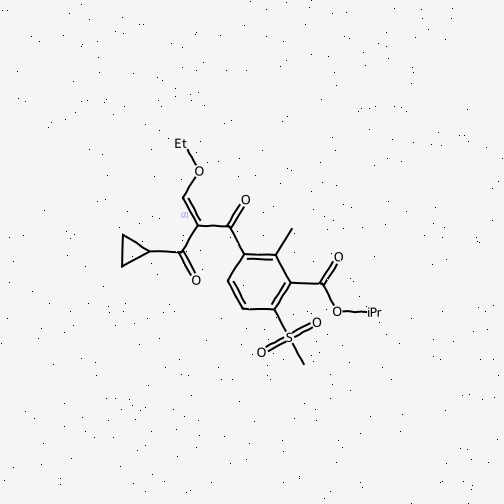 CCO/C=C(\C(=O)c1ccc(S(C)(=O)=O)c(C(=O)OC(C)C)c1C)C(=O)C1CC1